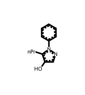 CCCc1c(O)cnn1-c1ccccc1